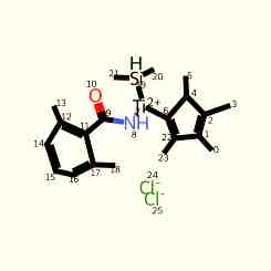 CC1=C(C)C(C)[C]([Ti+2]([NH]C(=O)c2c(C)cccc2C)[SiH](C)C)=C1C.[Cl-].[Cl-]